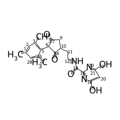 Cc1cc(C)c(C2C(=O)CC(CCNC(=O)c3nc(O)cc(O)n3)C2=O)c(C)c1